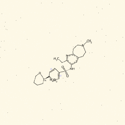 C=C(/C=C\C(=C/C)S(=O)(=O)Nc1cc2c(nc1CC)CCN(C)CC2)[C@H]1CCCCO1